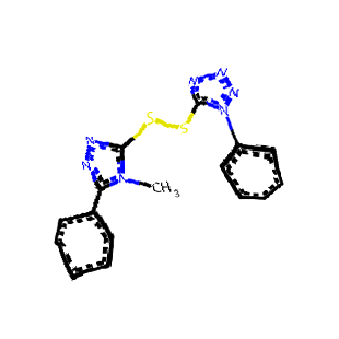 Cn1c(SSc2nnnn2-c2ccccc2)nnc1-c1ccccc1